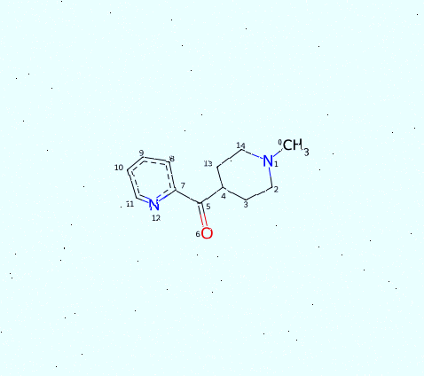 CN1CCC(C(=O)c2ccccn2)CC1